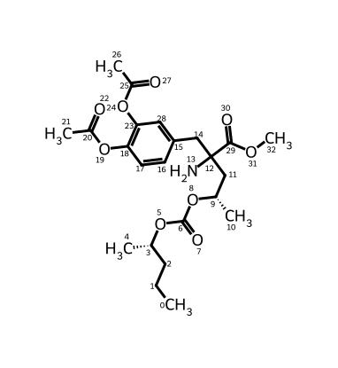 CCC[C@H](C)OC(=O)O[C@@H](C)CC(N)(Cc1ccc(OC(C)=O)c(OC(C)=O)c1)C(=O)OC